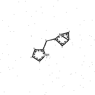 c1c[nH]c(Cc2cc3cn2-3)c1